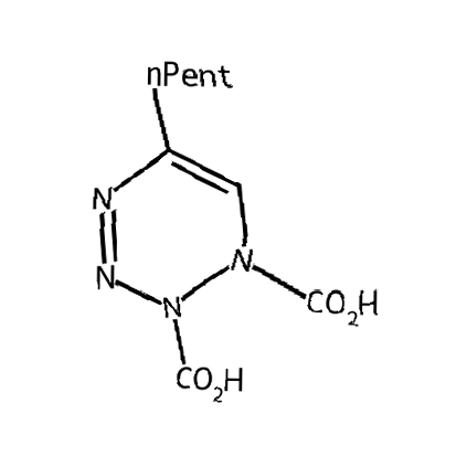 CCCCCC1=CN(C(=O)O)N(C(=O)O)N=N1